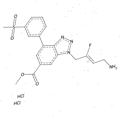 COC(=O)c1cc(-c2cccc(S(C)(=O)=O)c2)c2nnn(C/C(F)=C/CN)c2c1.Cl.Cl